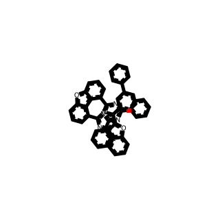 c1ccc(-c2cccc(-c3nc(-c4cccc5oc6cccc(-c7nc(-c8ccccc8)nc(-c8ccccc8)n7)c6c45)nc4c3oc3ccccc34)c2)cc1